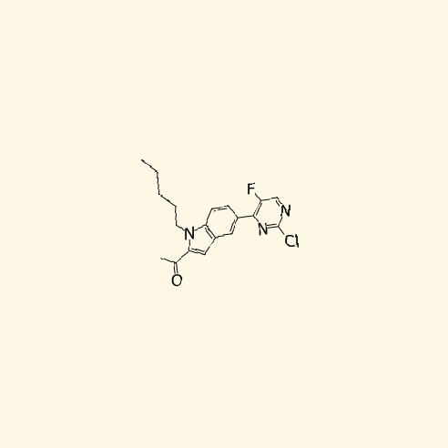 CCCCCn1c(C(C)=O)cc2cc(-c3nc(Cl)ncc3F)ccc21